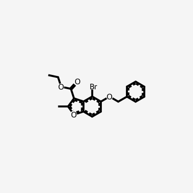 CCOC(=O)c1c(C)oc2ccc(OCc3ccccc3)c(Br)c12